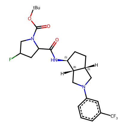 CC(C)(C)OC(=O)N1CC(F)CC1C(=O)N[C@H]1CC[C@@H]2CN(c3cccc(C(F)(F)F)c3)C[C@@H]21